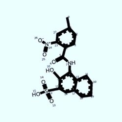 Cc1ccc(C(=O)Nc2c(O)c(S(=O)(=O)O)cc3ccccc23)c([N+](=O)[O-])c1